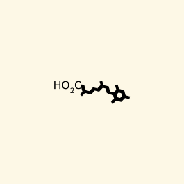 CC(C=Cc1c(C)cc(C)cc1C)=CC=CC(C)=CC(=O)O